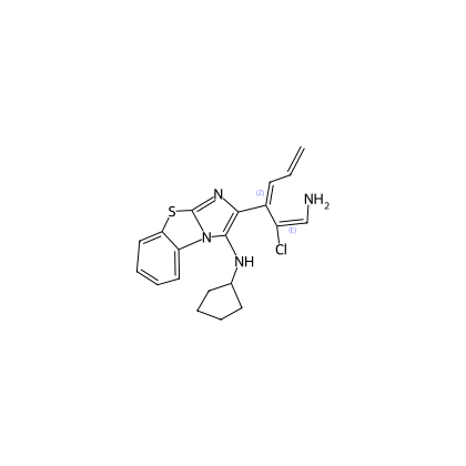 C=C/C=C(\C(Cl)=C/N)c1nc2sc3ccccc3n2c1NC1CCCC1